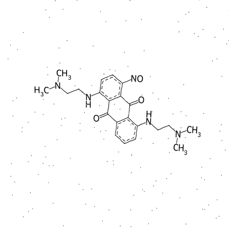 CN(C)CCNc1cccc2c1C(=O)c1c(N=O)ccc(NCCN(C)C)c1C2=O